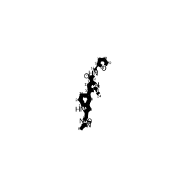 Cc1noc(-c2cc3cc(-c4cc(C(=O)NC[C@H]5CCCO5)nn4C)ccc3[nH]2)n1